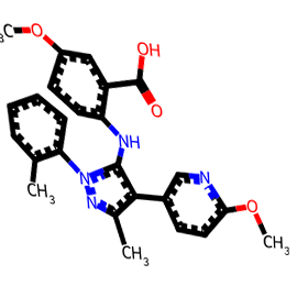 COc1ccc(Nc2c(-c3ccc(OC)nc3)c(C)nn2-c2ccccc2C)c(C(=O)O)c1